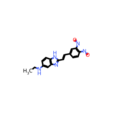 CCNc1ccc2[nH]c(/C=C/c3ccc(N=O)c(N=O)c3)nc2c1